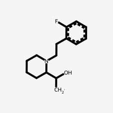 [CH2]C(O)C1CCCCN1CCc1ccccc1F